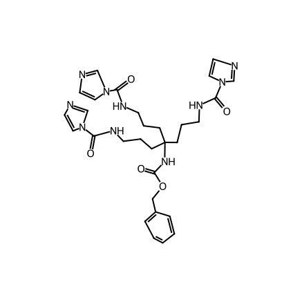 O=C(NC(CCCNC(=O)n1ccnc1)(CCCNC(=O)n1ccnc1)CCCNC(=O)n1ccnc1)OCc1ccccc1